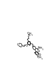 COCCCc1cc(CN2CCC(c3ccn(C)c(=O)c3)C(C(N)=O)C2)cc(OCCN2CCOCC2)c1